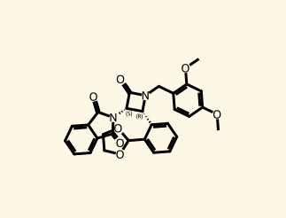 COc1ccc(CN2C(=O)[C@@H](N3C(=O)c4ccccc4C3=O)[C@H]2c2ccccc2C2OCCO2)c(OC)c1